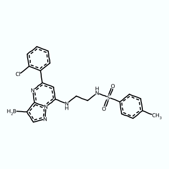 Bc1cnn2c(NCCNS(=O)(=O)c3ccc(C)cc3)cc(-c3ccccc3Cl)nc12